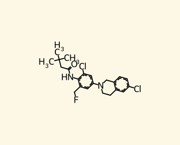 CC(C)(C)CC(=O)Nc1c(Cl)cc(N2CCc3cc(Cl)ccc3C2)cc1CF